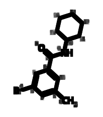 Cc1cc(Br)cc(C(=O)NC2CCCCC2)c1